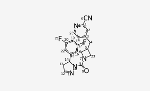 N#Cc1cc(CC2CN(C(=O)N3N=CCC3c3cc(F)cc(F)c3)C2)ccn1